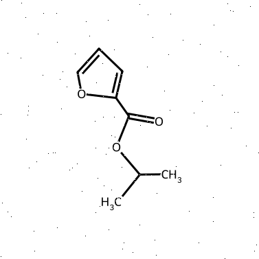 CC(C)OC(=O)c1ccco1